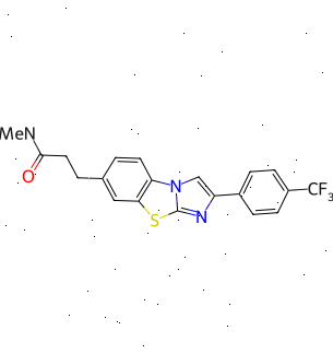 CNC(=O)CCc1ccc2c(c1)sc1nc(-c3ccc(C(F)(F)F)cc3)cn12